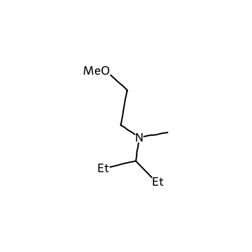 CCC(CC)N(C)CCOC